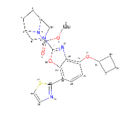 CC(C)(C)OC(=O)N1C2CCC1CN(c1nc3c(OC4CCC4)ccc(-c4nccs4)c3o1)C2